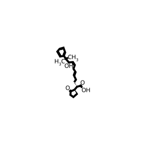 CC(C)(c1ccccc1)[C@@H](O)/C=C\C/C=C/CC[C@H](C(=O)O)[C@H]1CCCC1=O